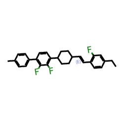 CCc1ccc(/C=C/C2CCC(c3ccc(-c4ccc(C)cc4)c(F)c3F)CC2)c(F)c1